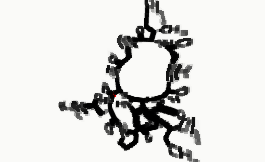 CC[C@H](C)[C@@H]1NC(=O)CNC(=O)[C@@H]2Cc3c([nH]c4ccccc34)S[C@H](NC(=O)CNC1=O)C(=O)N[C@@H](CC(N)=O)C(=O)N1CCCC1C(=O)N[C@@H]([C@@H](C)CC)C(=O)N2